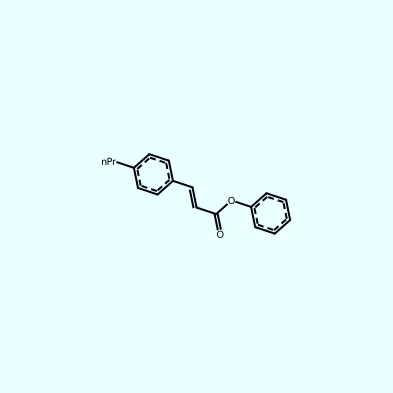 CCCc1ccc(C=CC(=O)Oc2ccccc2)cc1